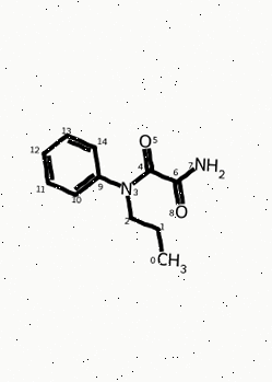 CCCN(C(=O)C(N)=O)c1ccccc1